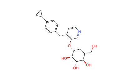 OC[C@H]1C[C@@H](Oc2cnccc2Cc2ccc(C3CC3)cc2)[C@H](O)[C@@H](O)[C@@H]1O